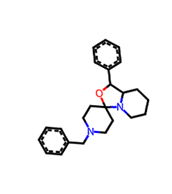 c1ccc(CN2CCC3(CC2)OC(c2ccccc2)C2CCCCN23)cc1